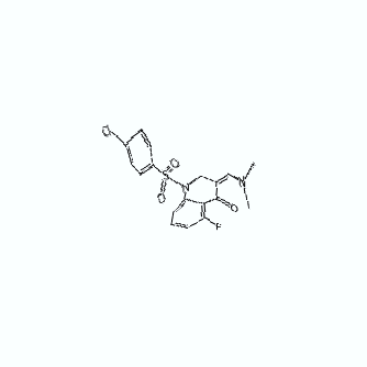 CN(C)C=C1CN(S(=O)(=O)c2ccc(Cl)cc2)c2cccc(F)c2C1=O